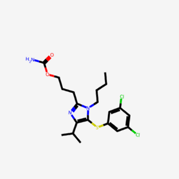 CCCCn1c(CCCOC(N)=O)nc(C(C)C)c1Sc1cc(Cl)cc(Cl)c1